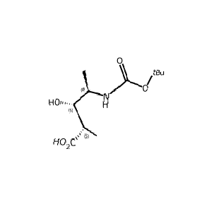 C[C@H](C(=O)O)[C@H](O)[C@@H](C)NC(=O)OC(C)(C)C